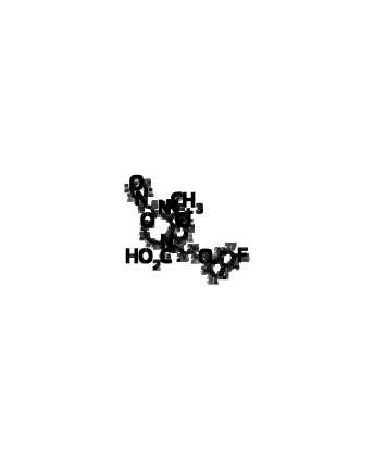 CCc1c2c(nn1C)C(CCN1CCOCC1)OCCCCn1c(C(=O)O)c(CCCOc3cccc4cc(F)ccc34)c3ccc(Cl)c-2c31